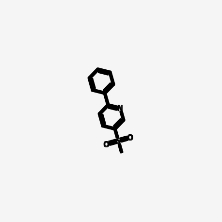 CS(=O)(=O)c1ccc(-c2ccccc2)nc1